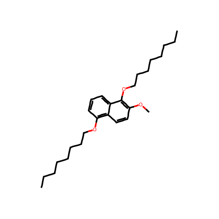 CCCCCCCCOc1cccc2c(OCCCCCCCC)c(OC)ccc12